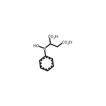 CCOC(=O)CC(C(=O)OCC)N(O)c1ccccc1